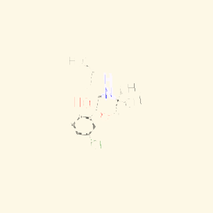 CCC[C@@H]1NC(C)(C)CO[C@@]1(O)c1cccc(Cl)c1